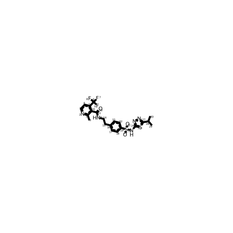 Cc1nccc(C(F)(F)F)c1C(=O)NCCc1ccc(S(=O)(=O)Nc2nnc(C(C)C)s2)cc1